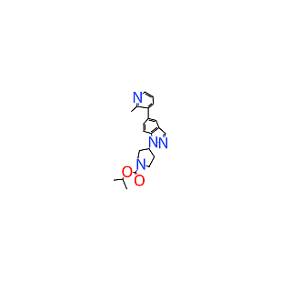 Cc1ncccc1-c1ccc2c(cnn2C2CCN(C(=O)OC(C)C)CC2)c1